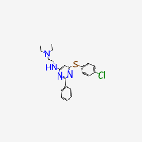 CCN(CC)CCNc1cc(Sc2ccc(Cl)cc2)nc(-c2ccccc2)n1